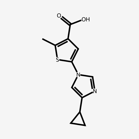 Cc1sc(-n2cnc(C3CC3)c2)cc1C(=O)O